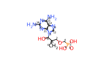 C=C(COCP(=O)(O)O)C(O)n1cnc2c(N)nc(N)nc21